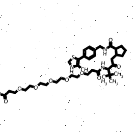 CC1=C(c2ccc(CNC(=O)C3CCCC3CC(=O)C(NC(=O)CCOCCOCCOCCOCCOCCC(=O)O)C(C)(C)C)cc2)SCN1